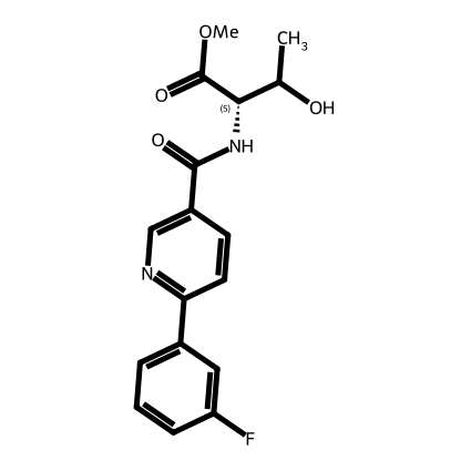 COC(=O)[C@@H](NC(=O)c1ccc(-c2cccc(F)c2)nc1)C(C)O